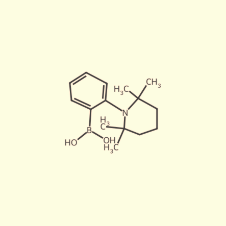 CC1(C)CCCC(C)(C)N1c1ccccc1B(O)O